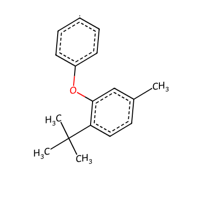 Cc1ccc(C(C)(C)C)c(Oc2cc[c]cc2)c1